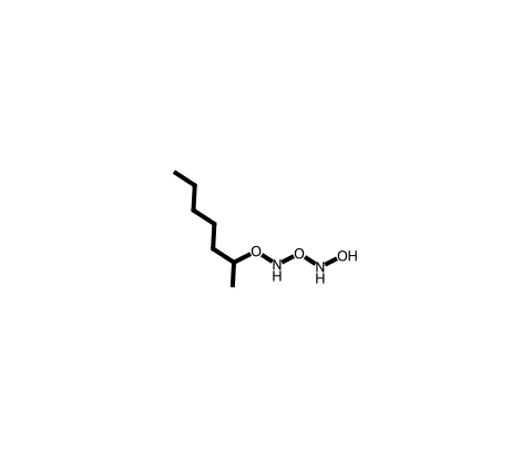 CCCCCC(C)ONONO